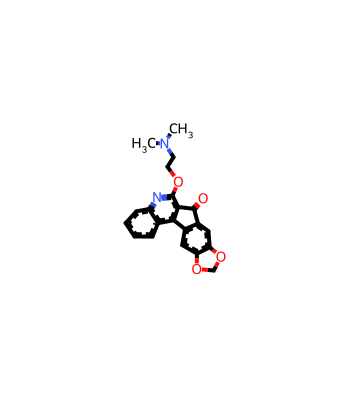 CN(C)CCOc1nc2ccccc2c2c1C(=O)c1cc3c(cc1-2)OCO3